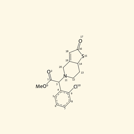 COC(=O)C(c1ccccc1Cl)N1CCC2SC(=O)C=C2C1